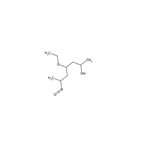 CCOC(CC(C)O)CC(C)N=O